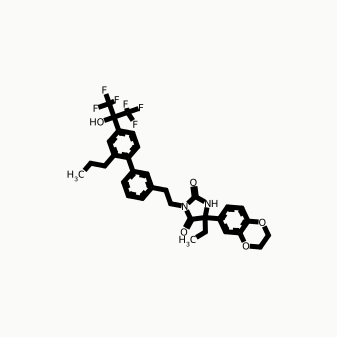 CCCc1cc(C(O)(C(F)(F)F)C(F)(F)F)ccc1-c1cccc(CCN2C(=O)NC(CC)(c3ccc4c(c3)OCCO4)C2=O)c1